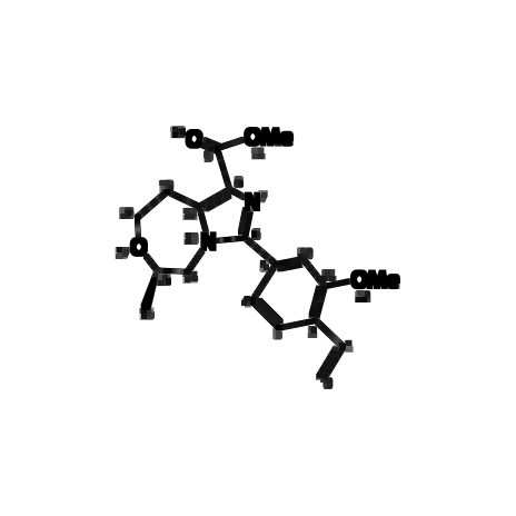 C=Cc1ccc(-c2nc(C(=O)OC)c3n2C[C@@H](C)OCC3)cc1OC